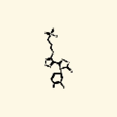 O=c1onc(-c2nonc2SCCCS(=O)(=O)Cl)n1-c1ccc(F)c(Br)c1